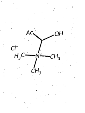 CC(=O)C(O)[N+](C)(C)C.[Cl-]